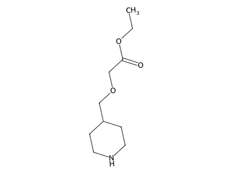 CCOC(=O)COCC1CCNCC1